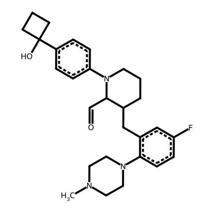 CN1CCN(c2ccc(F)cc2CC2CCCN(c3ccc(C4(O)CCC4)cc3)C2C=O)CC1